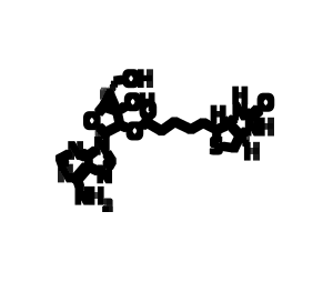 Nc1ncnc2c1ncn2[C@@H]1OC2[C@H](CO)C2(O)C1OC(=O)CCCCC1SC[C@@H]2NC(=O)N[C@H]12